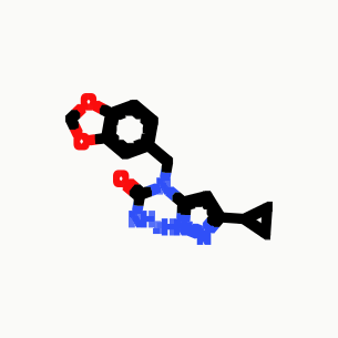 NC(=O)N(Cc1ccc2c(c1)OCO2)c1cc(C2CC2)n[nH]1